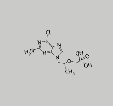 C[C@H](Cn1cnc2c(Cl)nc(N)nc21)OCP(=O)(O)O